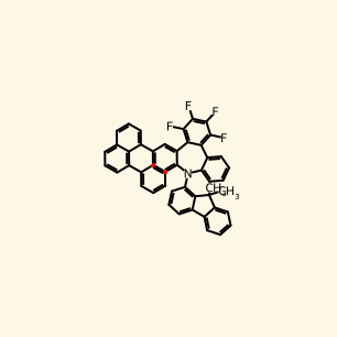 CC1(C)c2ccccc2-c2cccc(N3c4ccccc4-c4c(F)c(F)c(F)c(F)c4-c4cc(-c5cccc6cccc(-c7ccccc7)c56)ccc43)c21